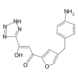 Nc1ccc(Cc2coc(C(=O)C=C(O)c3nn[nH]n3)c2)cc1